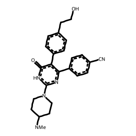 CNC1CCN(c2nc(-c3ccc(C#N)cc3)c(-c3ccc(CCO)cc3)c(=O)[nH]2)CC1